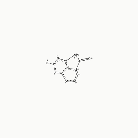 O=C1Nc2nc(Cl)cc3cccc1c23